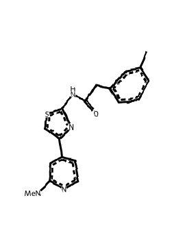 CNc1cc(-c2csc(NC(=O)Cc3cccc(C)c3)n2)ccn1